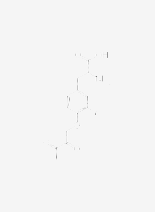 CC(=O)C(=O)COc1ccc(CC(N)C(=O)O)cc1Cl